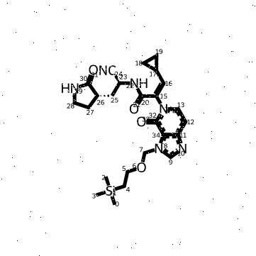 C[Si](C)(C)CCOCn1cnc2ccn(C(=CC3CC3)C(=O)N[C@H](C#N)C[C@@H]3CCNC3=O)c(=O)c21